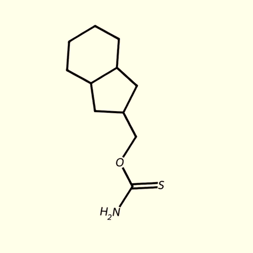 NC(=S)OCC1CC2CCCCC2C1